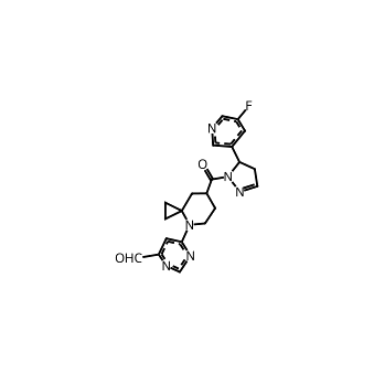 O=Cc1cc(N2CCC(C(=O)N3N=CCC3c3cncc(F)c3)CC23CC3)ncn1